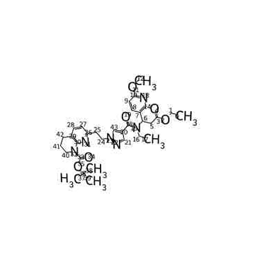 CCOC(=O)CC(c1ccc(OC)nc1)N(CC)C(=O)c1cnn(CCc2ccc3c(n2)N(C(=O)OC(C)(C)C)CCC3)c1